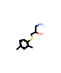 Cc1ccc(SCC(O)CN)c(C)c1